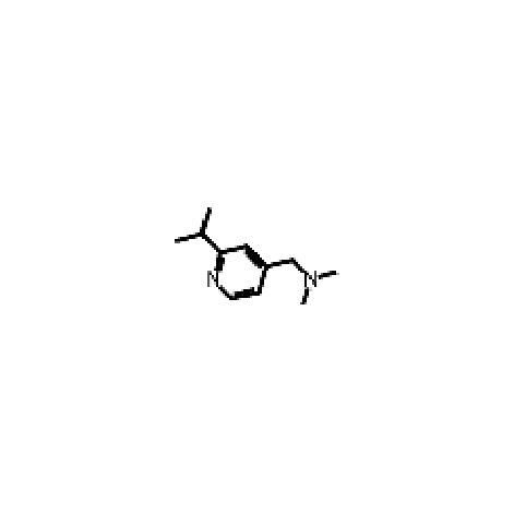 CC(C)c1cc(CN(C)C)ccn1